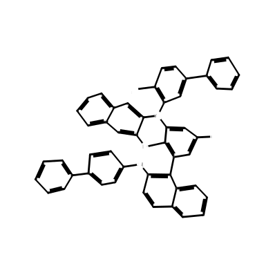 Cc1cc(-c2c(Nc3ccc(-c4ccccc4)cc3)ccc3ccccc23)c2c(c1)N(c1cc(-c3ccccc3)ccc1C)c1cc3ccccc3cc1B2